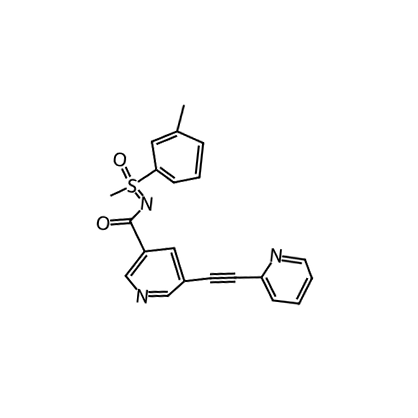 Cc1cccc(S(C)(=O)=NC(=O)c2cncc(C#Cc3ccccn3)c2)c1